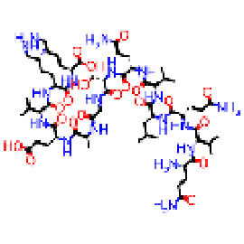 CC(C)C[C@H](NC(=O)[C@H](CCC(N)=O)NC(=O)[C@@H](NC(=O)[C@@H](N)CCC(N)=O)C(C)C)C(=O)N[C@H](C(=O)N[C@@H](CCC(N)=O)C(=O)N[C@@H](CO)C(=O)NCC(=O)N[C@@H](C)C(=O)N[C@@H](CCC(=O)O)C(=O)N[C@H](C(=O)N[C@@H](CCCCN)C(=O)N[C@@H](CCCCN)C(=O)O)C(C)C)C(C)C